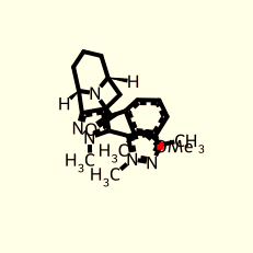 COc1cccc(C(=O)N2[C@@H]3CCC[C@H]2c2nn(C)c(-c4cc(C)nn4C)c2C3)c1C